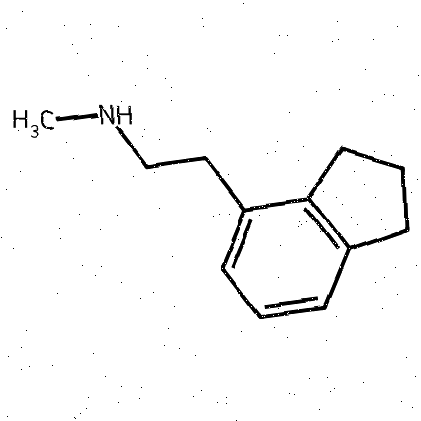 CNCCc1cccc2c1CCC2